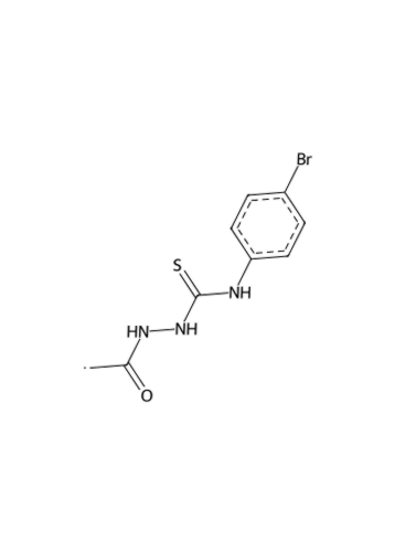 [CH2]C(=O)NNC(=S)Nc1ccc(Br)cc1